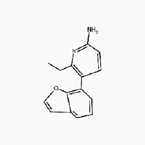 CCc1nc(N)ccc1-c1cccc2ccoc12